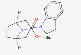 CC(C)(C)OC(=O)N1[C@@H]2CC[C@H]1CC(N1CCc3ccccc31)C2